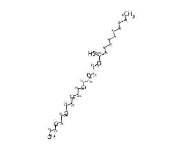 CCCCCCCCCCC(S)OCCOCCOCCOCCOCCOCCO